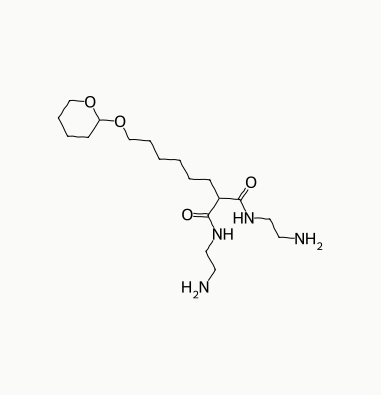 NCCNC(=O)C(CCCCCCOC1CCCCO1)C(=O)NCCN